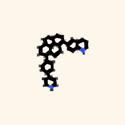 c1cnc2ccc(-c3ccc4ccc5ccc(-c6ccc(-c7ccncc7)cc6)c6ccc3c4c56)cc2c1